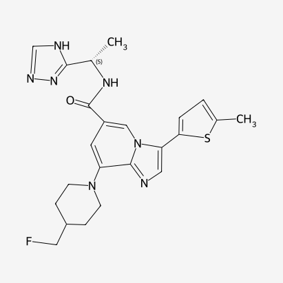 Cc1ccc(-c2cnc3c(N4CCC(CF)CC4)cc(C(=O)N[C@@H](C)c4nnc[nH]4)cn23)s1